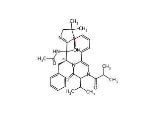 CC(=O)NC(O)(C1=NCC(C)(C)S1)[C@H](Cc1ccccc1)N1C(=O)C(C(C)C)N(C(=O)C(C)C)C=C1c1ccccc1